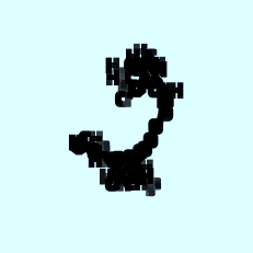 CC1=C(c2ccc(CNC(=O)[C@@H]3C[C@@H](O)CN3C(=O)C(NC(=O)COOCOCCOCCOc3ccc(NC(=O)CC4N=C(c5ccc(Cl)cc5)c5c([nH]c(C)c5C)-n5c(C)nnc54)cc3)C(C)(C)C)cc2)CC=N1